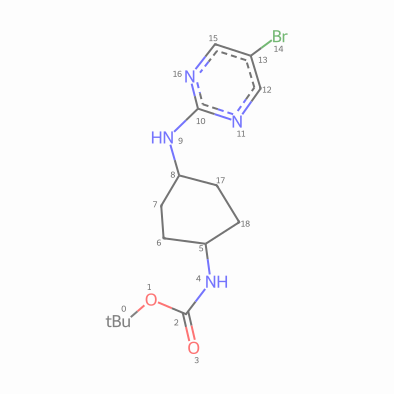 CC(C)(C)OC(=O)NC1CCC(Nc2ncc(Br)cn2)CC1